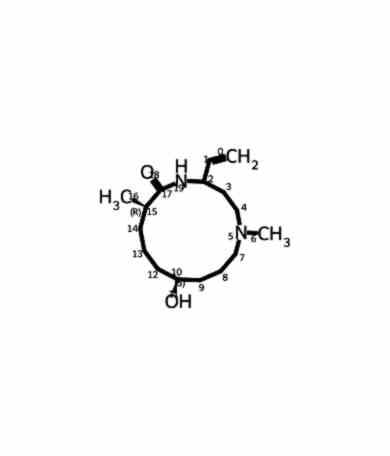 C=CC1CCN(C)CCC[C@@H](O)CCC[C@@H](C)C(=O)N1